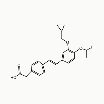 O=C(O)Cc1ccc(/C=C/c2ccc(OC(F)F)c(OCC3CC3)c2)cc1